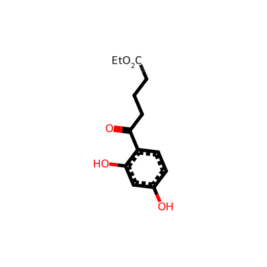 CCOC(=O)CCCC(=O)c1ccc(O)cc1O